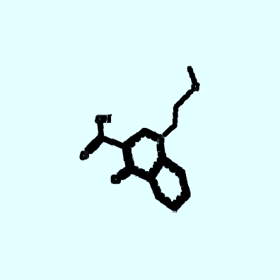 COCCn1cc(C(=O)O)c(=O)c2c[c]ccc21